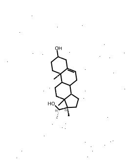 C[C@H](O)[C@@]1(C)CCC2C3CC=C4CC(O)CCC4(C)C3CCC21C